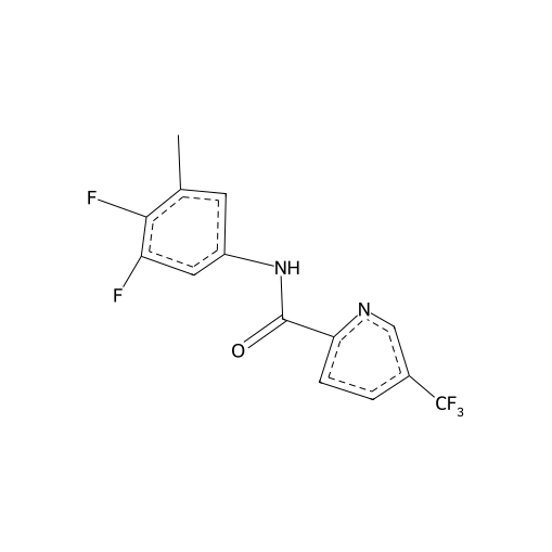 Cc1cc(NC(=O)c2ccc(C(F)(F)F)cn2)cc(F)c1F